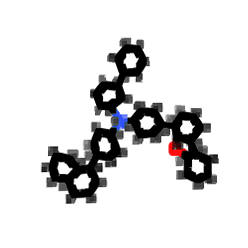 c1ccc(-c2cccc(N(c3ccc(-c4cccc5ccccc45)cc3)c3ccc(-c4cccc5c4oc4ccccc45)cc3)c2)cc1